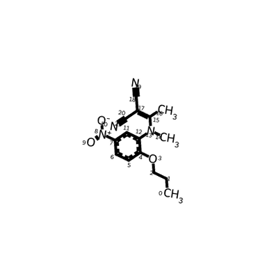 CCCOc1ccc([N+](=O)[O-])cc1N(C)C(C)=C(C#N)C#N